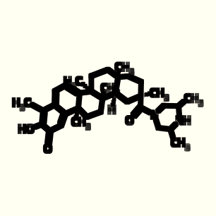 CC1=C(O)C(=O)C=C2C1=CC=C1[C@@]2(C)CC[C@@]2(C)[C@@H]3C[C@](C)(C(=O)N4CC(C)NC(C)C4)CC[C@]3(C)CC[C@]12C